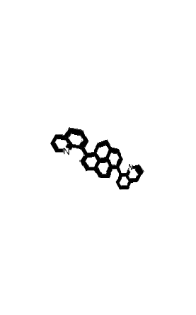 c1cnc2c(-c3ccc4ccc5c(-c6cccc7cccnc67)ccc6ccc3c4c65)cccc2c1